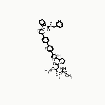 COC(=O)N[C@H](C(=O)N1CCCC1c1ncc(-c2ccc(-c3ccc(-c4cnc([C@H]5C6CCC(C6)[C@@H]5C(=O)NCc5cccnc5)[nH]4)cc3)nc2)[nH]1)[C@@H](C)OC